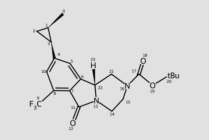 C[C@@H]1C[C@@H]1c1cc2c(c(C(F)(F)F)c1)C(=O)N1CCN(C(=O)OC(C)(C)C)C[C@@H]21